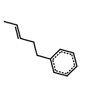 CC=CCCc1cc[c]cc1